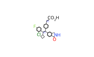 O=C(O)/C=C/c1ccc(/C(=C(\c2ccc(F)cc2Cl)C2CCC2)c2ccc3c(c2)CNC3=O)cc1